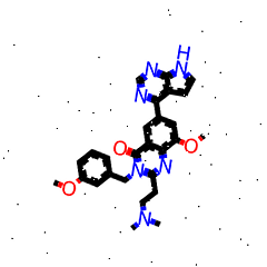 COc1cccc(Cn2c(CCN(C)C)nc3c(OC)cc(-c4ncnc5[nH]ccc45)cc3c2=O)c1